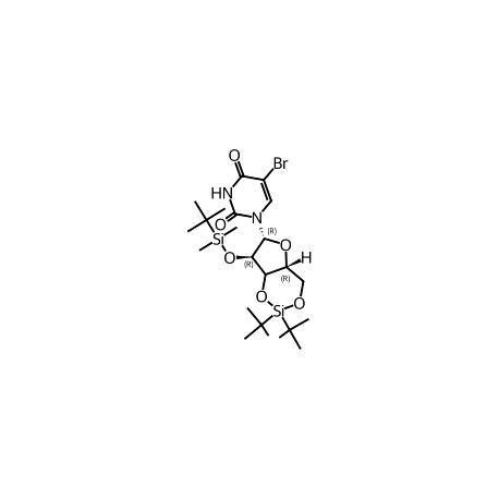 CC(C)(C)[Si](C)(C)O[C@@H]1C2O[Si](C(C)(C)C)(C(C)(C)C)OC[C@H]2O[C@H]1n1cc(Br)c(=O)[nH]c1=O